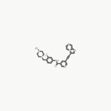 CC(C)N1CCN(Cc2ccc(NC(=O)c3cncc(C#Cc4cnc5cnccn45)c3)cc2C(F)(F)F)CC1